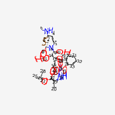 CNC(=S)/C=C\N(C=O)C(O)C(O)C(COP(=O)(NC(C)C(=O)OC(C)C)Oc1ccccc1)OC